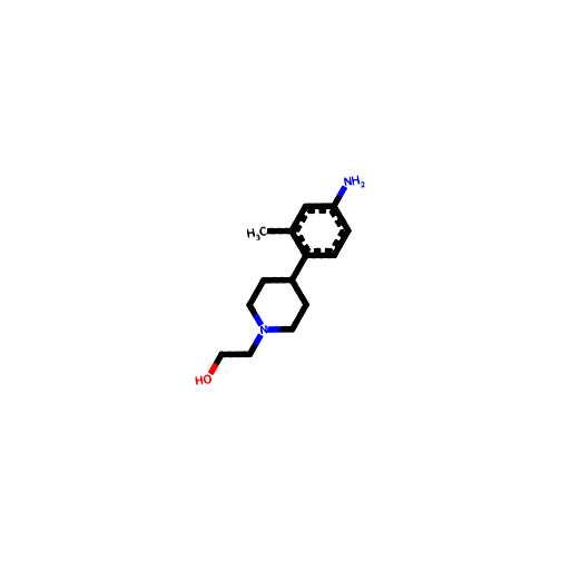 Cc1cc(N)ccc1C1CCN(CCO)CC1